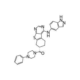 O=C([C@H]1CCc2c(sc3ncnc(Nc4ccc5[nH]ncc5c4)c23)C1)N1CCN(c2ccccc2)CC1